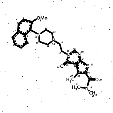 COc1ccc2ccccc2c1N1CCN(CCn2cnc3sc(C(=O)N(C)C)c(C)c3c2=O)CC1